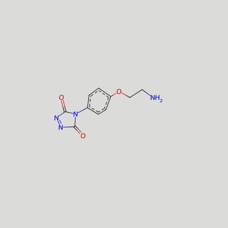 NCCOc1ccc(N2C(=O)N=NC2=O)cc1